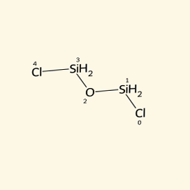 Cl[SiH2]O[SiH2]Cl